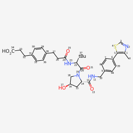 Cc1ncsc1-c1ccc(CNC(=O)[C@@H]2C[C@@H](O)CN2C(=O)C(NC(=O)CCc2ccc(CCC(=O)O)cc2)C(C)(C)C)cc1